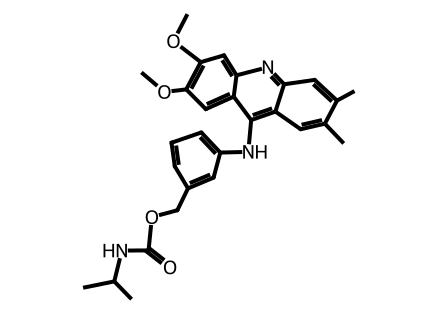 COc1cc2nc3cc(C)c(C)cc3c(Nc3cccc(COC(=O)NC(C)C)c3)c2cc1OC